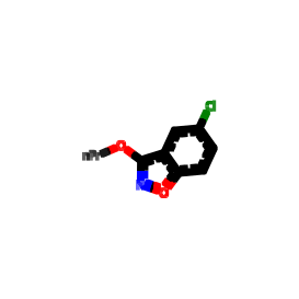 CCCOc1noc2ccc(Cl)cc12